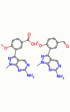 COc1ccc(C(=O)O)cc1-c1nn(C)c2nc(N)ncc12.COc1ccc(C=O)cc1-c1nn(C)c2nc(N)ncc12